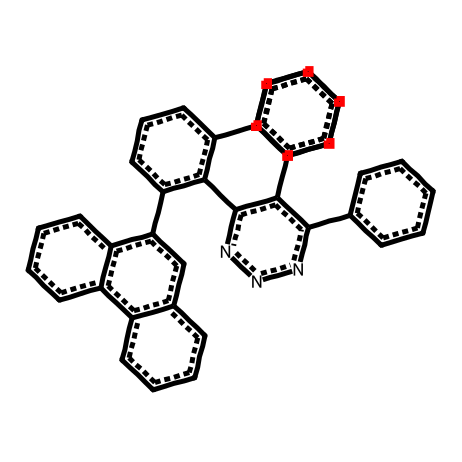 c1ccc(-c2cccc(-c3cc4ccccc4c4ccccc34)c2-c2nnnc(-c3ccccc3)c2-c2ccccc2)cc1